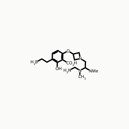 BCCc1ccc(OC2CN(CC(NC)N(C)CN)C2)c(C(=O)O)c1O